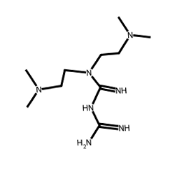 CN(C)CCN(CCN(C)C)C(=N)NC(=N)N